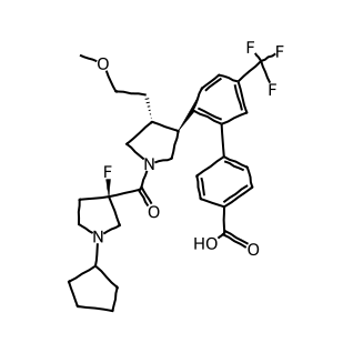 COCC[C@H]1CN(C(=O)[C@@]2(F)CCN(C3CCCC3)C2)C[C@@H]1c1ccc(C(F)(F)F)cc1-c1ccc(C(=O)O)cc1